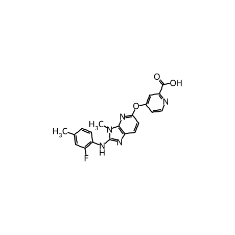 Cc1ccc(Nc2nc3ccc(Oc4ccnc(C(=O)O)c4)nc3n2C)c(F)c1